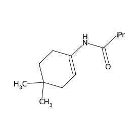 CC(C)C(=O)NC1=CCC(C)(C)CC1